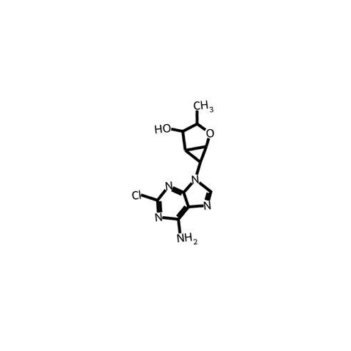 CC1OC2C(C1O)C2n1cnc2c(N)nc(Cl)nc21